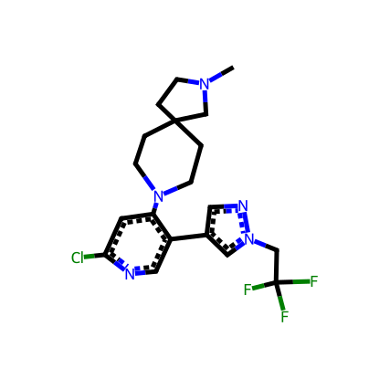 CN1CCC2(CCN(c3cc(Cl)ncc3-c3cnn(CC(F)(F)F)c3)CC2)C1